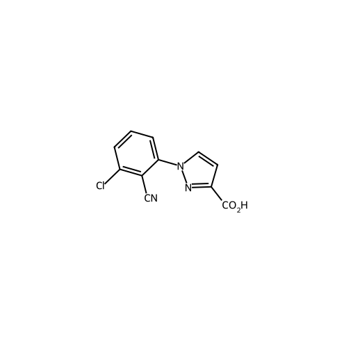 N#Cc1c(Cl)cccc1-n1ccc(C(=O)O)n1